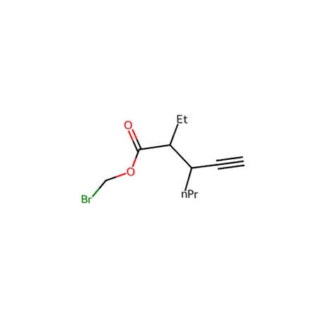 C#CC(CCC)C(CC)C(=O)OCBr